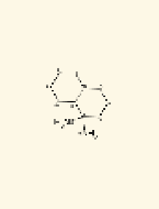 NC1(N)CCCC2CCCCC21